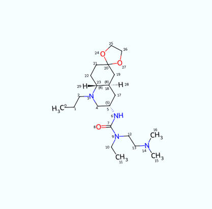 CCCN1C[C@@H](NC(=O)N(CC)CCN(C)C)C[C@@H]2CC3(CC[C@H]21)OCCO3